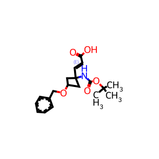 CC(C)(C)OC(=O)NC1(/C=C/C(=O)O)CC(OCc2ccccc2)C1